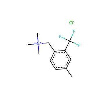 Cc1ccc(C[N+](C)(C)C)c(C(F)(F)F)c1.[Cl-]